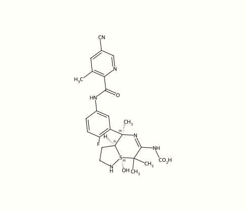 Cc1cc(C#N)cnc1C(=O)Nc1ccc(F)c([C@@]2(C)N=C(NC(=O)O)C(C)(C)[S@@]3(O)NCC[C@@H]23)c1